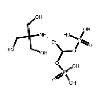 CCC(OP(=O)(O)O)OP(=O)(O)O.NC(CO)(CO)CO